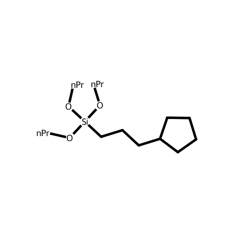 CCCO[Si](CCCC1CCCC1)(OCCC)OCCC